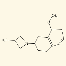 COC1CC=CC2=C1CC(N1CC(C)C1)CC2